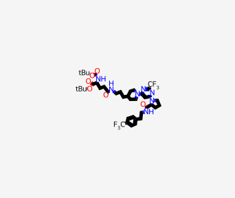 CC(C)(C)OC(=O)NC(CCC(=O)NCCCC1CCN(c2cc(N3CCCC3C(=O)NCCc3ccc(C(F)(F)F)cc3)nc(C(F)(F)F)n2)CC1)C(=O)OC(C)(C)C